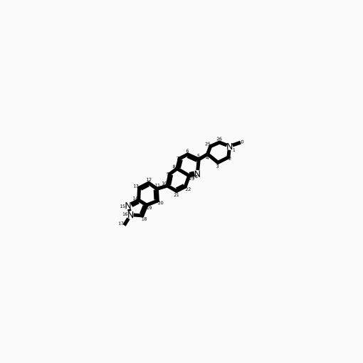 CN1CCC(c2ccc3cc(-c4ccc5nn(C)cc5c4)ccc3n2)CC1